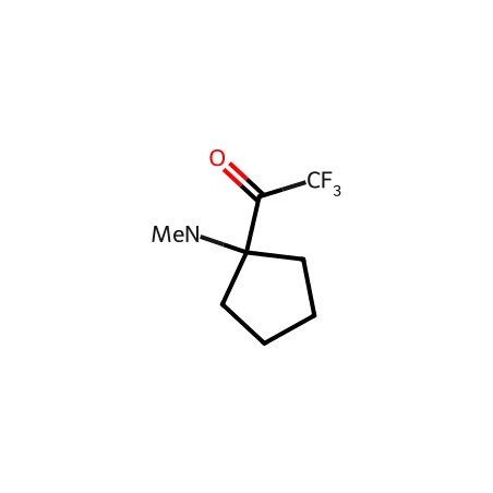 CNC1(C(=O)C(F)(F)F)CCCC1